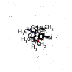 C=C/C(C)=C(/C(C)=O)[C@H](/C(=C/C(C)=C\C)C(=C)OCCC)c1ccc(C#N)cc1C